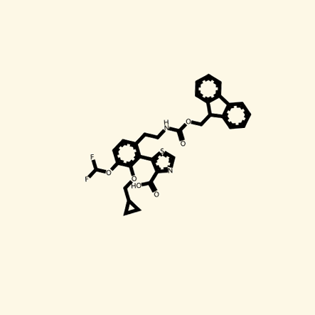 O=C(NCCc1ccc(OC(F)F)c(OCC2CC2)c1-c1scnc1C(=O)O)OCC1c2ccccc2-c2ccccc21